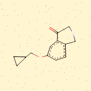 O=C1CNCc2ccc(OCC3CC3)cc21